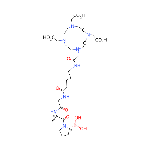 C[C@@H](NC(=O)CNC(=O)CCCCNC(=O)CN1CCN(CC(=O)O)CCN(CC(=O)O)CCN(CC(=O)O)CC1)C(=O)N1CCC[C@H]1B(O)O